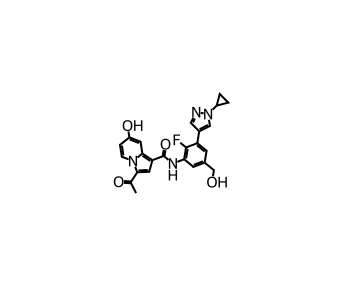 CC(=O)c1cc(C(=O)Nc2cc(CO)cc(-c3cnn(C4CC4)c3)c2F)c2cc(O)ccn12